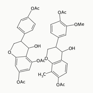 CC(=O)Oc1ccc(C2COc3cc(OC(C)=O)cc(OC(C)=O)c3C2O)cc1.COc1cc(C2COc3c(ccc(OC(C)=O)c3C)C2O)ccc1OC(C)=O